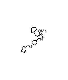 COc1nc(C)nc(C2=CCC(OCc3ccccc3)CC2)c1Cc1ccccc1